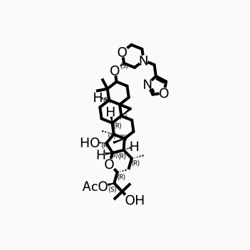 CC(=O)O[C@@H]([C@H]1C[C@@H](C)[C@H]2[C@H](O1)[C@H](O)[C@@]1(C)[C@@H]3CC[C@H]4C(C)(C)C(O[C@H]5CN(Cc6cocn6)CCO5)CCC45C[C@@]35CC[C@]21C)C(C)(C)O